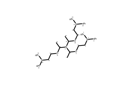 CCCN(CCC)CCOC(C)N(C(C)OCCN(CCC)CCC)C(C)OCCN(CCC)CCC